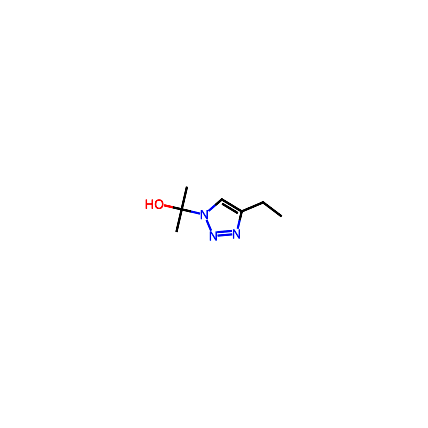 CCc1cn(C(C)(C)O)nn1